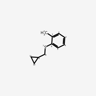 Cc1ccccc1SCC1CC1